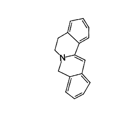 C1=C2c3ccccc3CCN2Cc2ccccc21